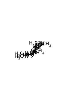 CCC(=O)CN1C(=O)c2c(ncn2[C@@H](C)C(=O)Nc2csc(-c3cnc(N(CC)CC)nc3)n2)N(C)C1O